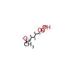 CC([O])CCCCCOOO